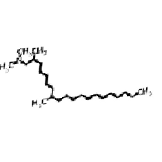 CCCCCCCCCCCCC(C)CCCCCC(C)CN(C)C